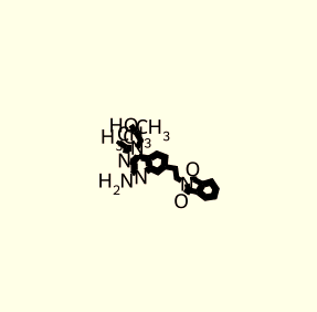 CCc1nc2c(N)nc3cc(CCN4C(=O)c5ccccc5C4=O)ccc3c2n1CC(C)(C)O